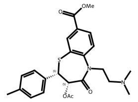 COC(=O)c1ccc2c(c1)S[C@@H](c1ccc(C)cc1)[C@@H](OC(C)=O)C(=O)N2CCN(C)C